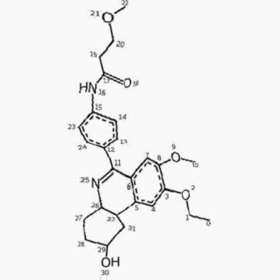 CCOc1cc2c(cc1OC)C(c1ccc(NC(=O)CCOC)cc1)=NC1CCC(O)CC21